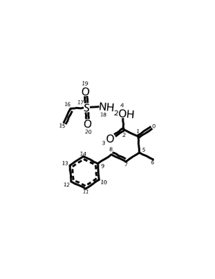 C=C(C(=O)O)C(C)C=Cc1ccccc1.C=CS(N)(=O)=O